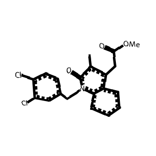 COC(=O)Cc1c(C)c(=O)n(Cc2ccc(Cl)c(Cl)c2)c2ccccc12